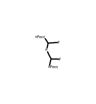 CCCCCC(F)[P]C(F)CCCCC